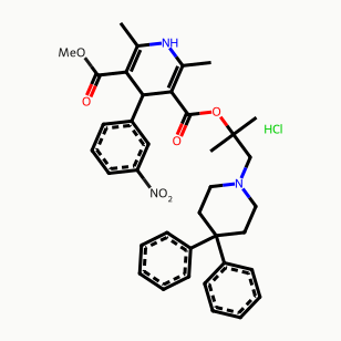 COC(=O)C1=C(C)NC(C)=C(C(=O)OC(C)(C)CN2CCC(c3ccccc3)(c3ccccc3)CC2)C1c1cccc([N+](=O)[O-])c1.Cl